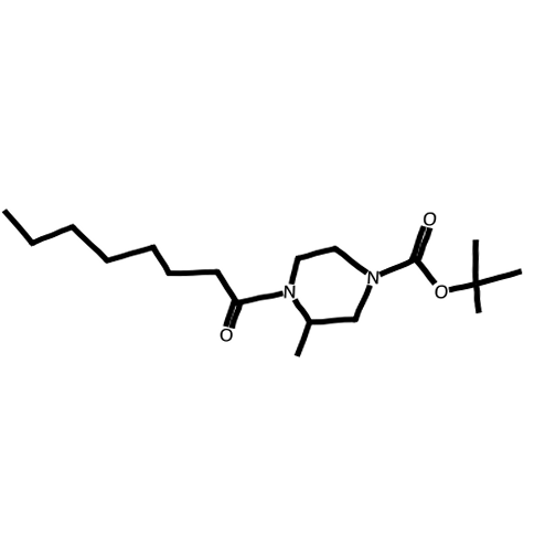 CCCCCCCC(=O)N1CCN(C(=O)OC(C)(C)C)CC1C